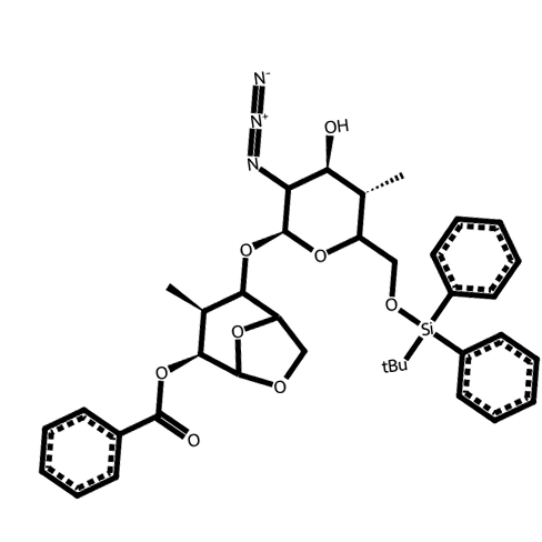 C[C@@H]1C(CO[Si](c2ccccc2)(c2ccccc2)C(C)(C)C)O[C@@H](OC2C3COC(O3)[C@@H](OC(=O)c3ccccc3)[C@H]2C)C(N=[N+]=[N-])[C@H]1O